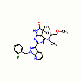 COCCN(C)c1nc(-c2nn(Cc3ccccc3F)c3ncccc23)nc2c1C(C)(C)C(=O)N2